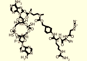 CC(C)[C@H](NC(=O)CN=[N+]=[N-])C(=O)N[C@@H](CCCNC(N)=O)C(=O)Nc1ccc(COC(=O)N(C)CCN(C)C(=O)O[C@@H]2[C@@H]3OP(=O)(S)OC[C@H]4O[C@@H](n5cnc6c(N)ncnc65)[C@H](F)[C@@H]4O[P@](=O)(S)OC[C@H]3O[C@H]2n2cnc3c(N)ncnc32)cc1